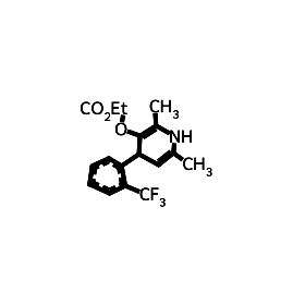 CCOC(=O)OC1=C(C)NC(C)=CC1c1ccccc1C(F)(F)F